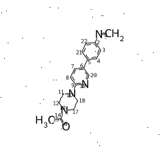 C=Nc1ccc(-c2ccc(N3CCN(C(C)=O)CC3)nc2)cc1